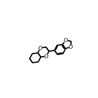 c1cc2c(cc1C1COC3CCCCC3O1)OCO2